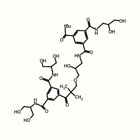 CC(C)(C)C(=O)c1cc(C(=O)NCC(O)CO)cc(C(=O)NCC(O)COCC(C)(C)C(=O)c2cc(C(=O)NC(CO)CO)cc(C(=O)NC(CO)CO)c2)c1